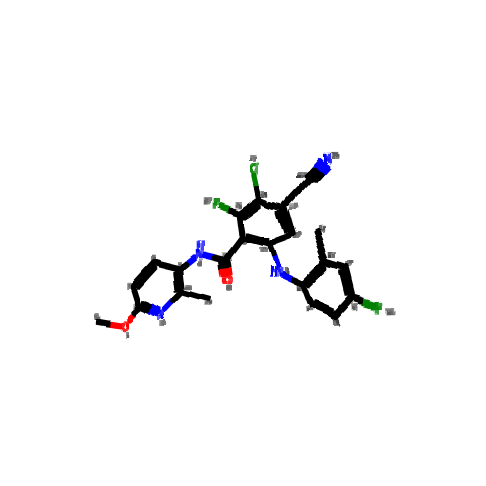 COc1ccc(NC(=O)c2c(Nc3ccc(F)cc3C)cc(C#N)c(Cl)c2F)c(C)n1